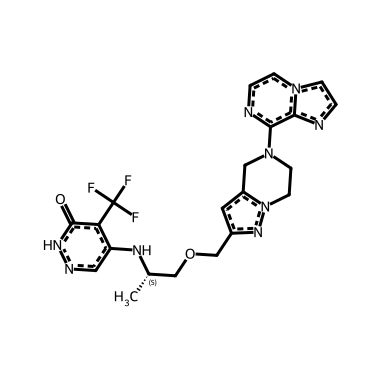 C[C@@H](COCc1cc2n(n1)CCN(c1nccn3ccnc13)C2)Nc1cn[nH]c(=O)c1C(F)(F)F